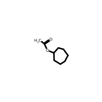 [CH2]C(=O)OC1CCCCCC1